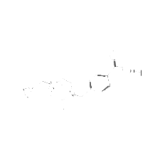 C[C@@H]1CN(Cc2ccc(C(=O)O)cc2)[C@@H](C)CN1CC1CC1